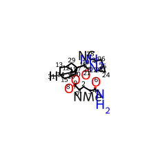 CN[C@@H](CCC(N)=O)C(=O)OC12CC3C[C@H](C1)CC([C@H](N)C(=O)N1C4CC4C[C@H]1C#N)(C3)C2